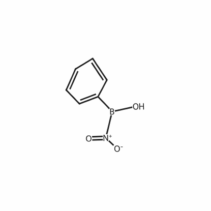 O=[N+]([O-])B(O)c1ccccc1